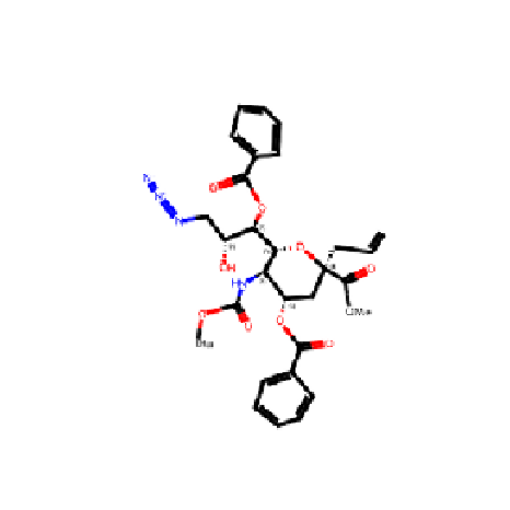 C=CC[C@]1(C(=O)OC)C[C@H](OC(=O)c2ccccc2)[C@@H](NC(=O)OC(C)(C)C)[C@H]([C@H](OC(=O)c2ccccc2)[C@H](O)CN=[N+]=[N-])O1